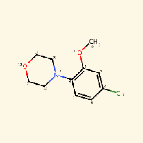 COc1cc(Cl)ccc1N1CCOCC1